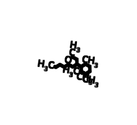 CCCCCCC(CC(C)=O)C1C(C)CCC(C)C1(C)C